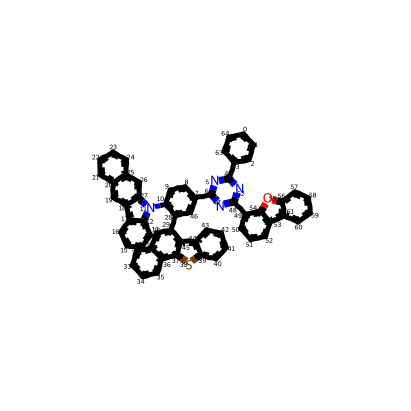 c1ccc(-c2nc(-c3ccc(-n4c5ccccc5c5cc6ccccc6cc54)c(-c4cc5ccccc5c5sc6ccccc6c45)c3)nc(-c3cccc4c3oc3ccccc34)n2)cc1